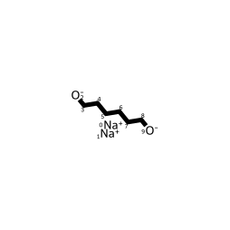 [Na+].[Na+].[O-]CCCCCC[O-]